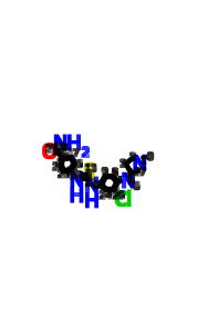 CN1CCC(N(C)c2ccc(NC(=S)Nc3ccc(C(N)=O)cc3)cc2Cl)C1